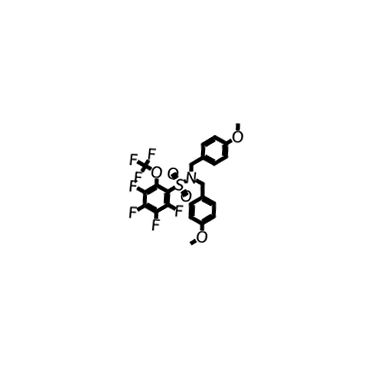 COc1ccc(CN(Cc2ccc(OC)cc2)S(=O)(=O)c2c(F)c(F)c(F)c(F)c2OC(F)(F)F)cc1